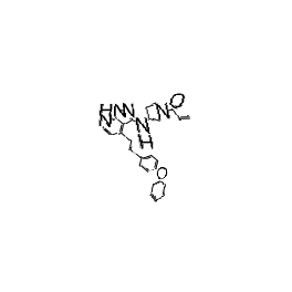 C=CC(=O)N1CC[C@@H](Nc2n[nH]c3nccc(CCc4ccc(Oc5ccccc5)cc4)c23)C1